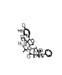 B[C@]1(Cl)[C@H](O)[C@@H](COP(=O)(NC(C)(C)C(=O)OC(C)C)Oc2ccccc2)O[C@H]1n1ccc(=O)[nH]c1=O